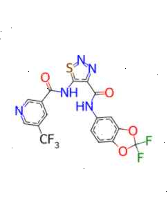 O=C(Nc1snnc1C(=O)Nc1ccc2c(c1)OC(F)(F)O2)c1cncc(C(F)(F)F)c1